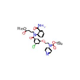 COC(=O)CCCN(C(=O)c1cc(Cl)cc(OCCN(C(=O)OC(C)(C)C)c2ccncc2)c1)c1ccccc1C(N)=O